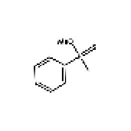 COP(C)(=S)c1ccccc1